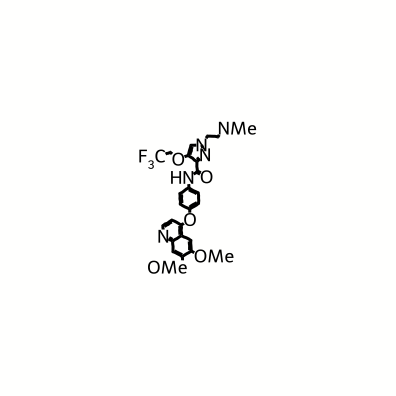 CNCCn1cc(OCC(F)(F)F)c(C(=O)Nc2ccc(Oc3ccnc4cc(OC)c(OC)cc34)cc2)n1